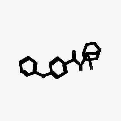 O=C(N[C@H]1CN2CCC1CC2)c1ccc(Oc2cccnc2)cc1